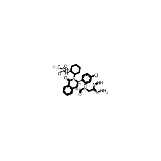 CS(=O)(=O)N[C@H]1CCCCC1N1C(=O)c2ccccc2[C@@H](C(=O)NC/C(N=N)=N/N)[C@@H]1c1ccc(Cl)cc1